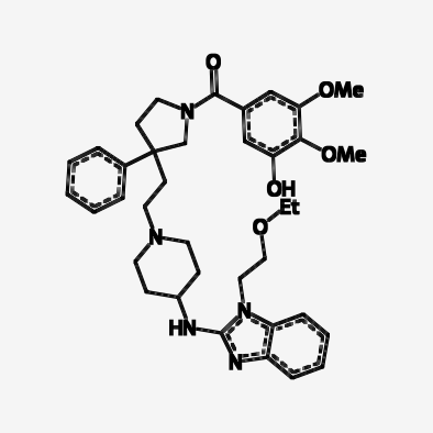 CCOCCn1c(NC2CCN(CCC3(c4ccccc4)CCN(C(=O)c4cc(O)c(OC)c(OC)c4)C3)CC2)nc2ccccc21